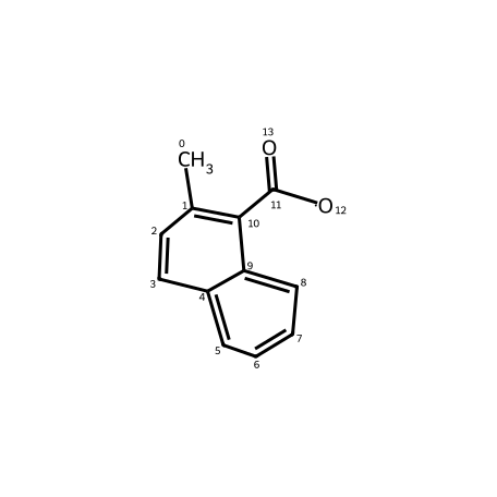 Cc1ccc2ccccc2c1C([O])=O